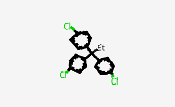 CCC(c1ccc(Cl)cc1)(c1ccc(Cl)cc1)c1ccc(Cl)cc1